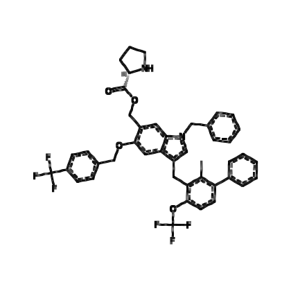 Cc1c(-c2ccccc2)ccc(OC(F)(F)F)c1Cc1cn(Cc2ccccc2)c2cc(COC(=O)[C@@H]3CCCN3)c(OCc3ccc(C(F)(F)F)cc3)cc12